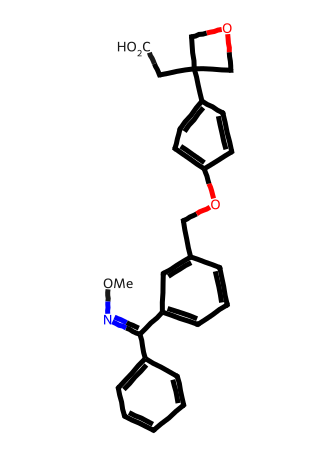 CON=C(c1ccccc1)c1cccc(COc2ccc(C3(CC(=O)O)COC3)cc2)c1